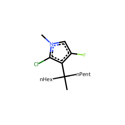 CCCCCCC(C)(CCCCC)c1c(F)cn(C)c1Cl